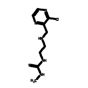 CNC(=S)NCCNCc1nccnc1Cl